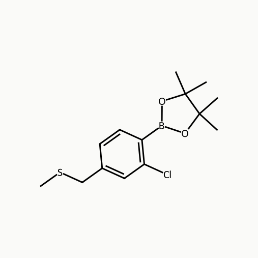 CSCc1ccc(B2OC(C)(C)C(C)(C)O2)c(Cl)c1